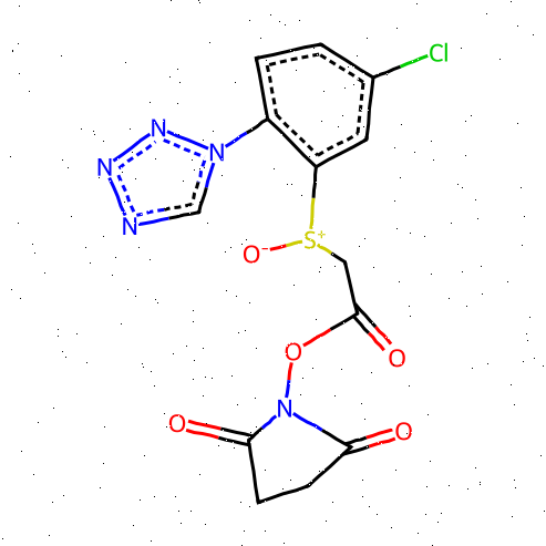 O=C(C[S+]([O-])c1cc(Cl)ccc1-n1cnnn1)ON1C(=O)CCC1=O